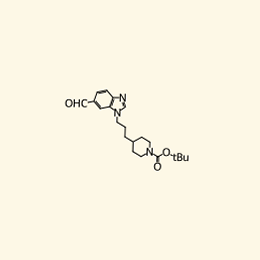 CC(C)(C)OC(=O)N1CCC(CCCn2cnc3ccc(C=O)cc32)CC1